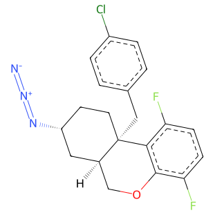 [N-]=[N+]=N[C@@H]1CC[C@@]2(Cc3ccc(Cl)cc3)c3c(F)ccc(F)c3OC[C@H]2C1